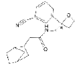 N#Cc1cccc([C@]2(CNC(=O)CC3CC4CCC3C4)CCO2)c1